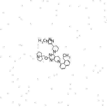 CCc1cccc2cccc(N3CCc4c(nc(OCC56CCCN5CCC6)nc4N4CCCC(c5cn(C)nn5)C4)C3)c12